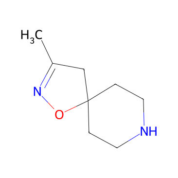 CC1=NOC2(CCNCC2)C1